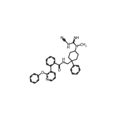 CN(C(=N)NC#N)C1CCC(CNC(=O)c2ccccc2-c2cccnc2Oc2ccccc2)(c2ccccc2)CC1